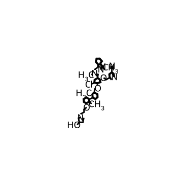 Cc1c(COc2cc(OCc3cncc(C#N)c3)c(CN(C)Cc3nn(C)c4ccccc34)cc2Cl)cccc1-c1cccc(OCCCN2CCC(O)C2)c1C